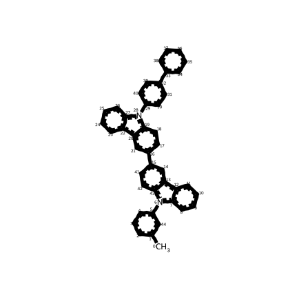 Cc1cccc(-n2c3ccccc3c3cc(-c4ccc5c(c4)c4ccccc4n5-c4ccc(-c5ccccc5)cc4)ccc32)c1